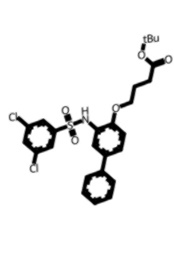 CC(C)(C)OC(=O)CCCOc1ccc(-c2ccccc2)cc1NS(=O)(=O)c1cc(Cl)cc(Cl)c1